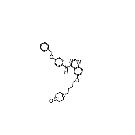 [O-][S+]1CCN(CCCCOc2ccc3ncnc(Nc4ccc(OCc5ccccc5)cc4)c3c2)CC1